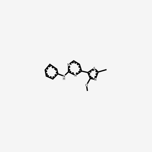 COc1nc(C)sc1-c1ccnc(Nc2ccccc2)n1